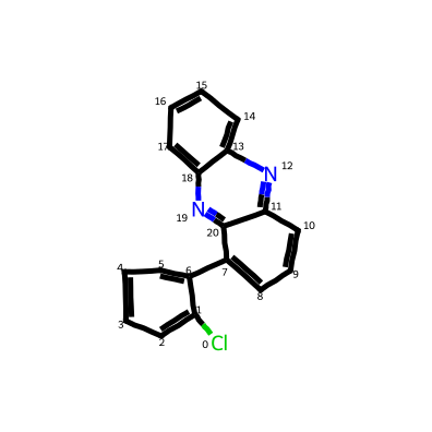 Clc1ccccc1-c1cccc2nc3ccccc3nc12